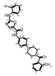 Cc1ccccc1C(=O)N1CCN(c2ccc(NC(=O)c3nnc(Nc4ccccc4F)o3)cn2)CC1